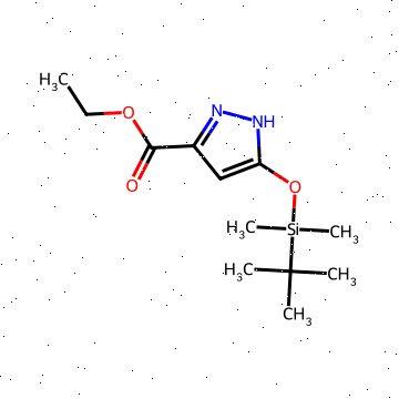 CCOC(=O)c1cc(O[Si](C)(C)C(C)(C)C)[nH]n1